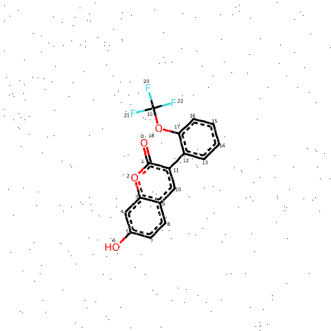 O=c1oc2cc(O)ccc2cc1-c1ccccc1OC(F)(F)F